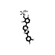 CC(C)(C)[Si](C)(C)OCc1c(F)ccc(-c2ccc3nc(-c4ccc(F)c(F)c4)cn3c2)c1F